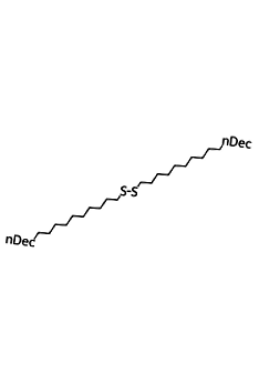 CCCCCCCCCCCCCCCCCCCCSSCCCCCCCCCCCCCCCCCCCC